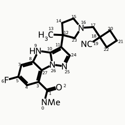 CNC(=O)c1cc(F)cc2[nH]c3c(C4(C)CCN(CC5(C#N)CCC5)C4)cnn3c12